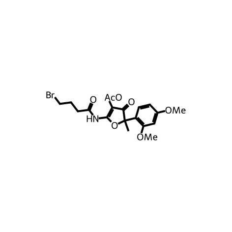 COc1ccc(C2(C)OC(NC(=O)CCCBr)=C(OC(C)=O)C2=O)c(OC)c1